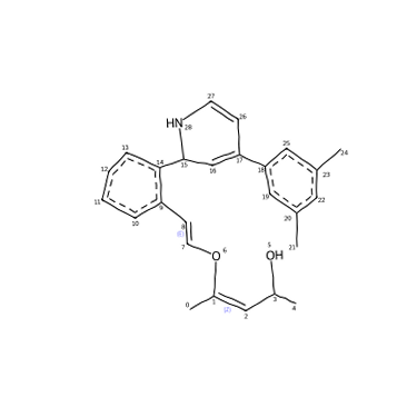 C/C(=C/C(C)O)O/C=C/c1ccccc1C1C=C(c2cc(C)cc(C)c2)C=CN1